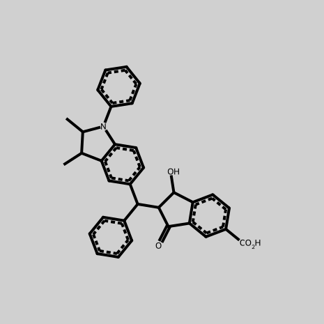 CC1c2cc(C(c3ccccc3)C3C(=O)c4cc(C(=O)O)ccc4C3O)ccc2N(c2ccccc2)C1C